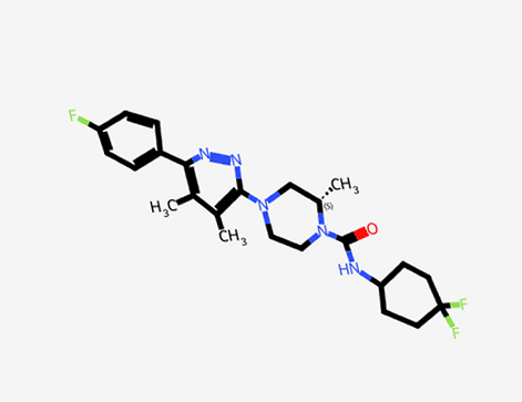 Cc1c(-c2ccc(F)cc2)nnc(N2CCN(C(=O)NC3CCC(F)(F)CC3)[C@@H](C)C2)c1C